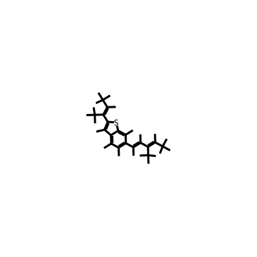 CC(=C(/C)c1c(C)c(C)c2c(C)c(/C(=C(\C)C(C)(C)C)C(C)(C)C)sc2c1C)/C(=C(\C)C(C)(C)C)C(C)(C)C